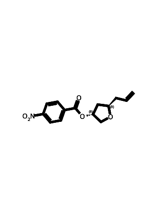 C=CC[C@@H]1C[C@@H](OC(=O)c2ccc([N+](=O)[O-])cc2)CO1